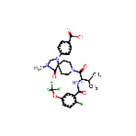 CC(C)[C@@H](NC(=O)c1cc(OC(F)(F)F)ccc1F)C(=O)N1CCC2(CC1)C(=O)N(C)CN2c1ccc(C(=O)O)cc1